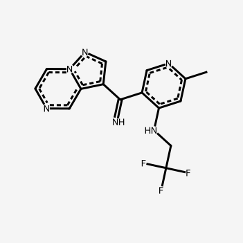 Cc1cc(NCC(F)(F)F)c(C(=N)c2cnn3ccncc23)cn1